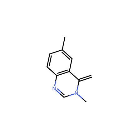 C=C1c2cc(C)ccc2N=CN1C